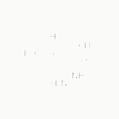 CC(C)=O.COC(=O)NN